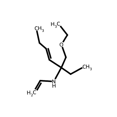 C=CNC(C=CCC)(CC)COCC